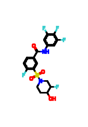 O=C(Nc1cc(F)c(F)c(F)c1)c1ccc(F)c(S(=O)(=O)N2CCC(O)C(F)C2)c1